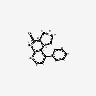 O=c1[nH]c2nccc(-c3ccccc3)c2c2ccccc12